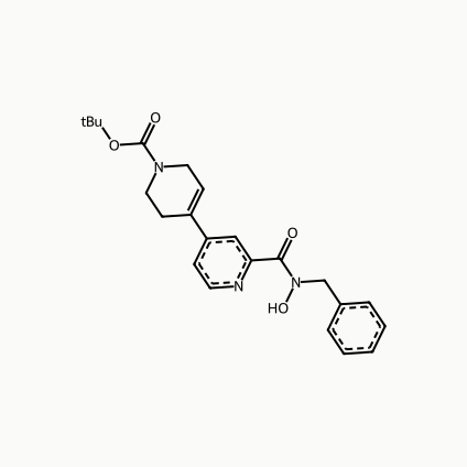 CC(C)(C)OC(=O)N1CC=C(c2ccnc(C(=O)N(O)Cc3ccccc3)c2)CC1